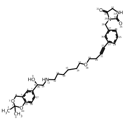 CC1(C)OCc2cc([C@@H](O)CNCCCCCCOCCC#Cc3cccc(CN4C(=O)CNC4=O)c3)ccc2O1